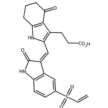 C=CS(=O)(=O)c1ccc2c(c1)C(=Cc1[nH]c3c(c1CCC(=O)O)C(=O)CCC3)C(=O)N2